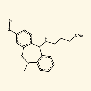 CCSc1ccc2c(c1)SN(C)c1ccccc1C2NCCCOC